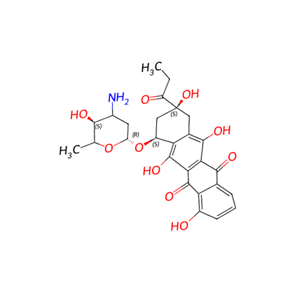 CCC(=O)[C@]1(O)Cc2c(O)c3c(c(O)c2[C@@H](O[C@H]2CC(N)[C@H](O)C(C)O2)C1)C(=O)c1c(O)cccc1C3=O